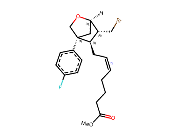 COC(=O)CCC/C=C\C[C@@H]1[C@@H](CBr)[C@H]2C[C@]1(c1ccc(F)cc1)CO2